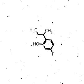 CCC(C)c1ccc(F)cc1O